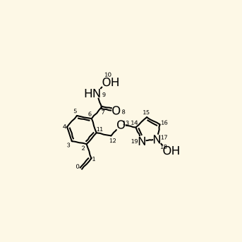 C=Cc1cccc(C(=O)NO)c1COc1ccn(O)n1